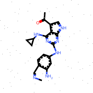 C/N=C\c1ccc(Nc2nc(NC3CC3)c3c(C(C)=O)c[nH]c3n2)cc1N